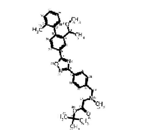 COC(C)c1cc(-c2nc(-c3ccc(CN(C)CC(=O)OC(C)(C)C)cc3)no2)ccc1-c1ccccc1C